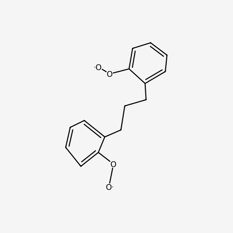 [O]Oc1ccccc1CCCc1ccccc1O[O]